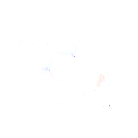 COC(=O)c1cccc(Nc2ncccc2C(=O)O)c1